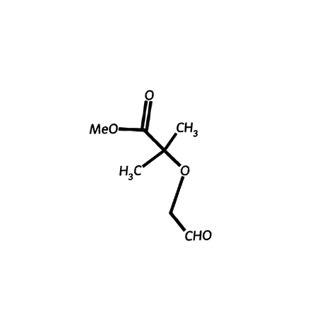 COC(=O)C(C)(C)OCC=O